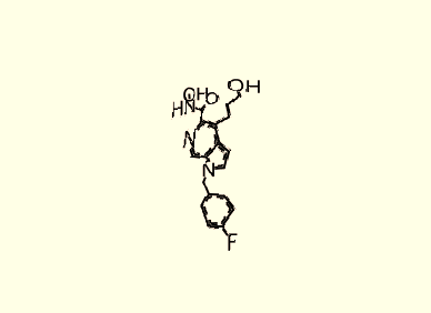 O=C(NO)c1ncc2c(ccn2Cc2ccc(F)cc2)c1CCCO